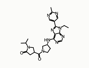 CCn1c(-c2cnc(C)nc2)nc2c(N[C@H]3CCN(C(=O)C4CC(=O)N(C(C)C)C4)C3)ncnc21